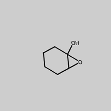 OC12CCCCC1O2